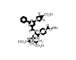 CCCCOC(=O)N1CCN(C(=O)[C@H](CP(=O)(N[C@@H](C)C(=O)OCC)N[C@@H](C)C(=O)OCC)NC(=O)c2cc(N3C[C@@H]4[C@H](C3)[C@H]4C(=O)OCC)nc(-c3ccccc3)n2)CC1